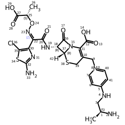 C[C@H](N)CNc1cc[n+](CC2=C(C(=O)O)N3C(=O)[C@@H](NC(=O)/C(=N\O[C@@H](C)C(=O)O)c4nc(N)sc4Cl)[C@H]3SC2)cc1